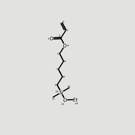 C=CC(=O)OCCCCC[Si](C)(C)OCC